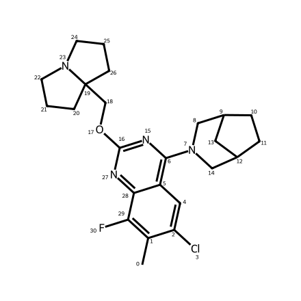 Cc1c(Cl)cc2c(N3CC4CCC(C4)C3)nc(OCC34CCCN3CCC4)nc2c1F